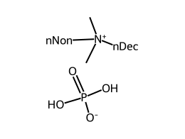 CCCCCCCCCC[N+](C)(C)CCCCCCCCC.O=P([O-])(O)O